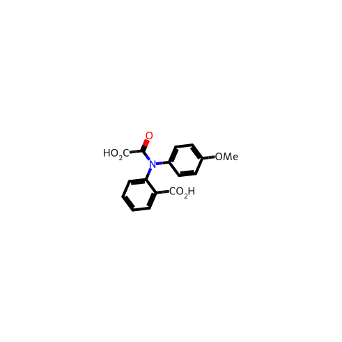 COc1ccc(N(C(=O)C(=O)O)c2ccccc2C(=O)O)cc1